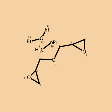 C(OCC1CO1)C1CO1.CCCC.CCOCC